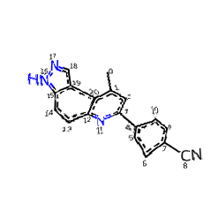 Cc1cc(-c2ccc(C#N)cc2)nc2ccc3[nH]ncc3c12